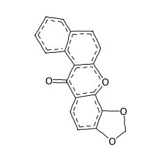 O=c1c2ccc3c(c2oc2ccc4ccccc4c12)OCO3